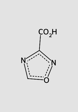 O=C(O)c1ncon1